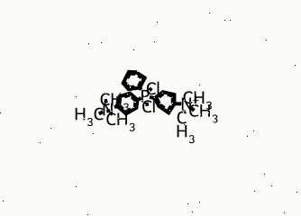 C[N+](C)(C)c1ccc(P(Cl)(Cl)(c2ccccc2)c2ccc([N+](C)(C)C)cc2)cc1